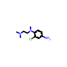 CN(C)CCN(C)c1ccc(N)cc1Cl